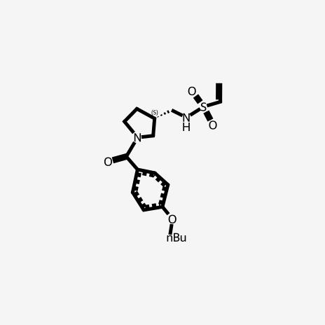 C=CS(=O)(=O)NC[C@H]1CCN(C(=O)c2ccc(OCCCC)cc2)C1